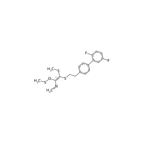 C=N/C(OSC)=C(/SC)SCCc1ccc(-c2cc(F)ccc2F)cc1